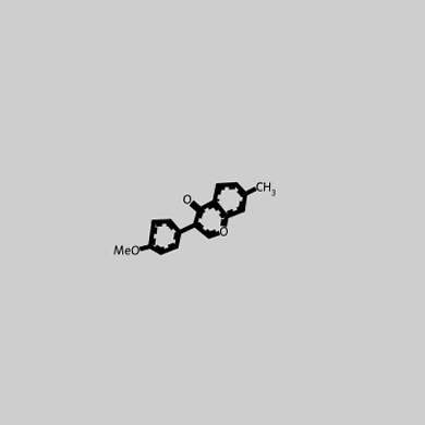 COc1ccc(-c2coc3cc(C)ccc3c2=O)cc1